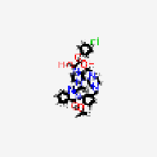 CC(C)Oc1ccc(CN2CCN(CCO)CC2)cc1-n1c(C(C)N2CCN(C(O)COc3ccc(Cl)cc3)CC2)nc2ccccc2c1=O